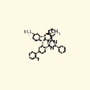 Cc1ccc2c(c1)c1cc(C)ccc1n2-c1cc(-c2ccccc2F)ccc1-c1nc(-c2ccccc2)nc(-c2ccccc2)n1